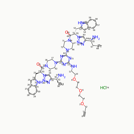 C#CCOCCOCCOCCNc1nc(N2CCN(C(=O)[C@H](Cc3cc4ccccc4[nH]3)n3cc([C@@H](N)C(C)CC)nn3)CC2)nc(N2CCN(C(=O)[C@H](Cc3cc4ccccc4[nH]3)n3cc([C@@H](N)CC(C)C)nn3)CC2)n1.Cl